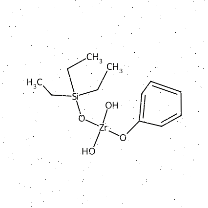 CC[Si](CC)(CC)[O][Zr]([OH])([OH])[O]c1ccccc1